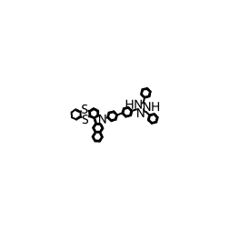 C1=C2Sc3ccc4c(c3SC2=CCC1)c1cc2ccccc2cc1n4-c1ccc(-c2ccc(C3N=C(c4ccccc4)NC(c4ccccc4)N3)cc2)cc1